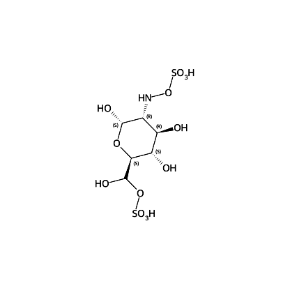 O=S(=O)(O)ON[C@@H]1[C@@H](O)[C@H](O)[C@@H](C(O)OS(=O)(=O)O)O[C@@H]1O